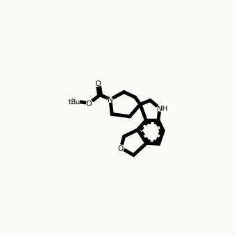 CC(C)(C)OC(=O)N1CCC2(CC1)CNc1ccc3c(c12)COC3